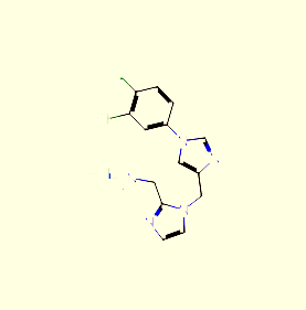 Cl.NCc1nccn1Cc1cn(-c2ccc(Cl)c(Cl)c2)cn1